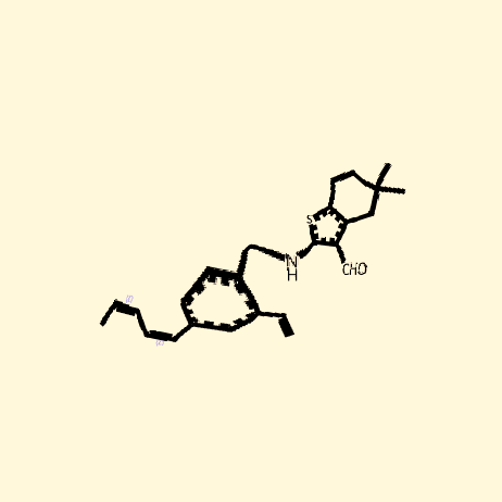 C=Cc1cc(/C=C\C=C/C)ccc1CNc1sc2c(c1C=O)CC(C)(C)CC2